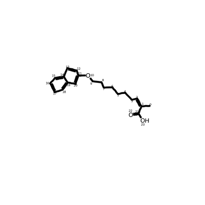 CC(=CCCCCCCCOc1ccc2ccccc2c1)C(=O)O